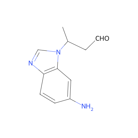 CC(CC=O)n1cnc2ccc(N)cc21